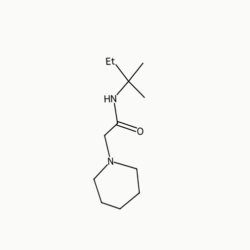 CCC(C)(C)NC(=O)CN1CCCCC1